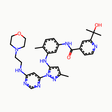 Cc1cc(Nc2cc(NC(=O)c3ccnc(C(C)(C)O)c3)ccc2C)n(-c2cc(NCCN3CCOCC3)ncn2)n1